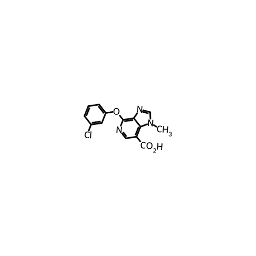 Cn1cnc2c(Oc3cccc(Cl)c3)ncc(C(=O)O)c21